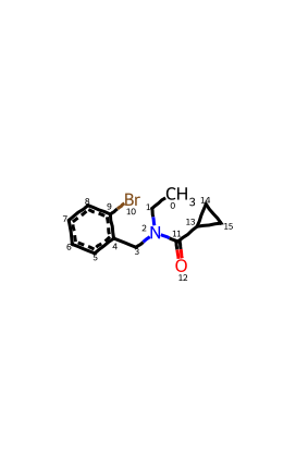 CCN(Cc1ccccc1Br)C(=O)C1CC1